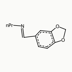 CCCN=Cc1ccc2c(c1)OCO2